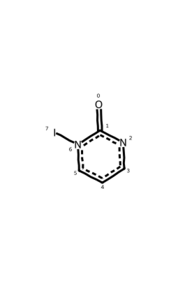 O=c1ncccn1I